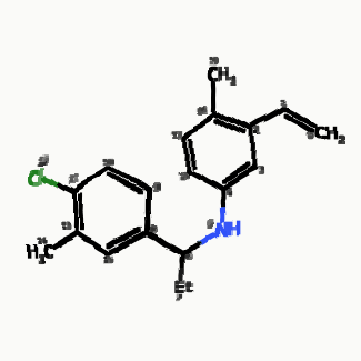 C=Cc1cc(NC(CC)c2ccc(Cl)c(C)c2)ccc1C